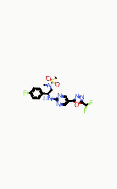 CN(CC(Nc1ncc(-c2nnc(C(F)F)o2)cn1)c1ccc(F)cc1)S(C)(=O)=O